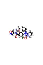 Cc1oncc1NC(=O)c1cc(F)c(-n2nc3n(c2=O)CCCC3)cc1OC(C)C1CCCCC1